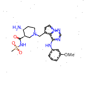 COc1cccc(Nc2ncnn3ccc(CN4CC[C@@H](N)[C@H](C(=O)NS(C)(=O)=O)C4)c23)c1